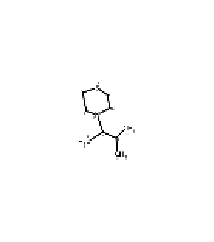 CC(C)C(C)N1CCSCC1